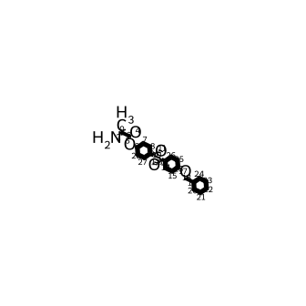 C[C@H](N)C(=O)Oc1ccc(S(=O)(=O)c2ccc(OCc3ccccc3)cc2)cc1